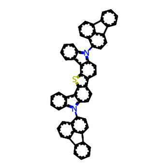 c1ccc2c(c1)-c1cccc3c(-n4c5ccccc5c5c6sc7c(ccc8c7c7ccccc7n8-c7ccc8c9c(cccc79)-c7ccccc7-8)c6ccc54)ccc-2c13